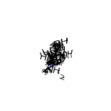 CC(C)CC(N)/C=C/C(Cc1ccccc1)C(=O)N1CCC[C@H]1C(=O)NC(C(=O)NC(CCCNC(=O)O)C(=O)NC1CC(C)(C)N(O)C(C)(C)C1)C(C)C